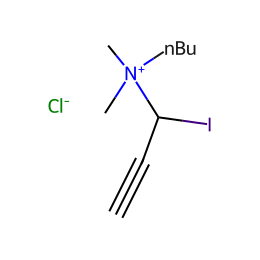 C#CC(I)[N+](C)(C)CCCC.[Cl-]